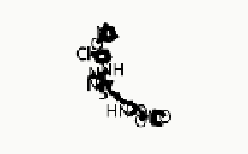 O=C(OC1CNC(C#Cc2cc3c(Nc4ccc(Oc5ccccn5)c(Cl)c4)ncnc3s2)C1)N1CCOCC1